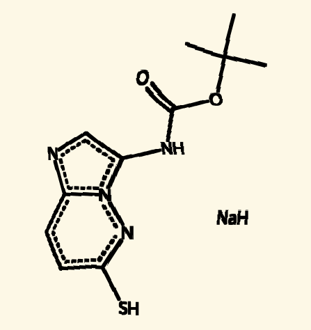 CC(C)(C)OC(=O)Nc1cnc2ccc(S)nn12.[NaH]